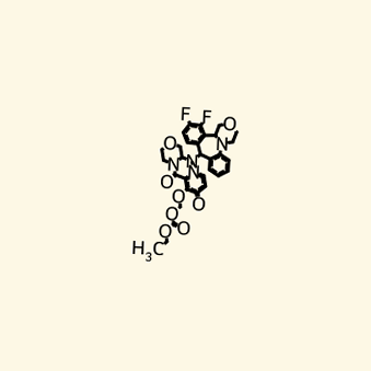 CCOC(=O)OCOc1c2n(ccc1=O)N(C1c3ccccc3N3CCOCC3c3c1ccc(F)c3F)C1COCCN1C2=O